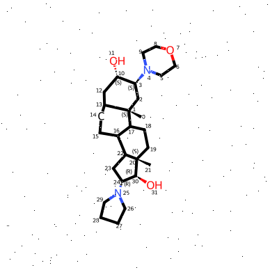 C[C@]12C[C@H](N3CCOCC3)[C@@H](O)CC1CCC1C2CC[C@@]2(C)C1C[C@@H](N1CCCC1)[C@@H]2O